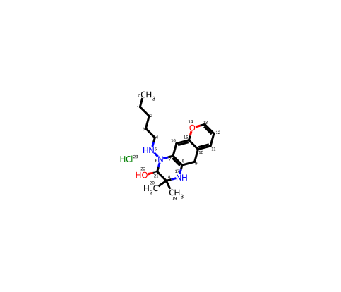 CCCCCNN1C2=C(CC3=CC=COC3=C2)NC(C)(C)[C@H]1O.Cl